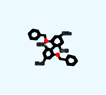 COc1cc(C=O)c(-c2c(C=O)cc(OC)cc2OCc2ccccc2)c(OCc2ccccc2)c1